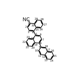 N#Cc1ccc(-c2ccc(-c3ccc4ccccc4c3)c3ccccc23)c2ccccc12